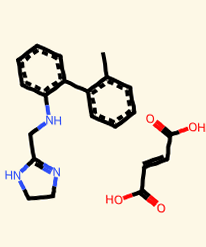 Cc1ccccc1-c1ccccc1NCC1=NCCN1.O=C(O)/C=C/C(=O)O